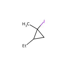 CCC1CC1(C)I